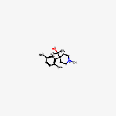 COc1ccc(OC)c(C2(C(C)(C)O)CCN(C)CC2)c1